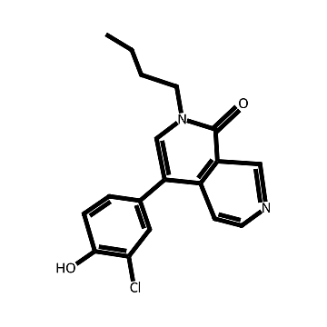 CCCCn1cc(-c2ccc(O)c(Cl)c2)c2ccncc2c1=O